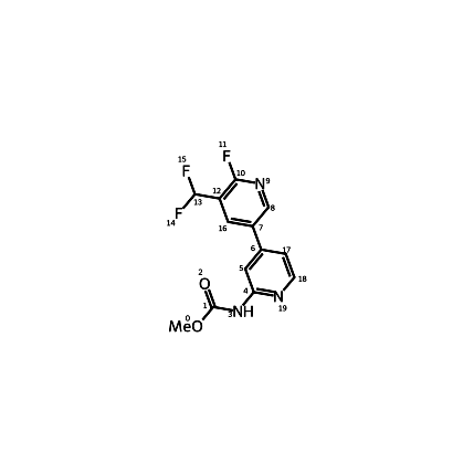 COC(=O)Nc1cc(-c2cnc(F)c(C(F)F)c2)ccn1